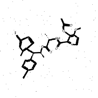 COc1ccnc(C(=O)N[C@@H](C)C(=O)O[C@@H](C)[C@@H](c2ccc(C)cc2)c2ccc(F)cc2C)c1OC(C)=O